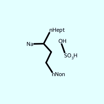 CCCCCCCCCCC[CH]([Na])CCCCCCC.O=S(=O)(O)O